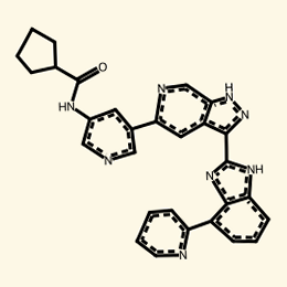 O=C(Nc1cncc(-c2cc3c(-c4nc5c(-c6ccccn6)cccc5[nH]4)n[nH]c3cn2)c1)C1CCCC1